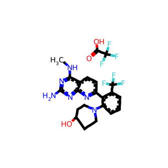 CNc1nc(N)nc2nc(-c3c(N4CCC(O)CC4)cccc3C(F)(F)F)ccc12.O=C(O)C(F)(F)F